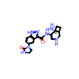 N[C@]12CCC1CNC[C@H]2NC(=O)c1n[nH]c2ccc(N3CCNC3=O)cc12